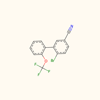 N#Cc1ccc(Br)c(-c2ccccc2OC(F)(F)F)c1